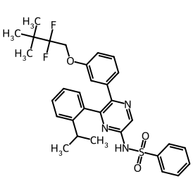 CC(C)c1ccccc1-c1nc(NS(=O)(=O)c2ccccc2)cnc1-c1cccc(OCC(F)(F)C(C)(C)C)c1